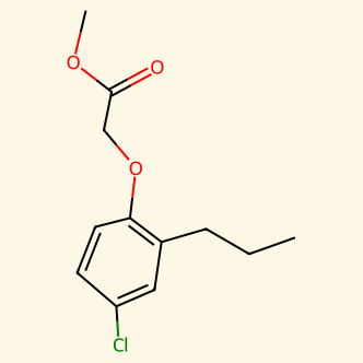 CCCc1cc(Cl)ccc1OCC(=O)OC